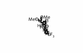 COCCN(CCOC)Cc1cc(Cl)cc(C(=O)Nc2nc3ccc(C(F)(F)F)cc3s2)c1O